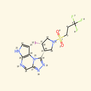 O=S(=O)(CCC(F)(F)F)N1C[C@@H](I)[C@@H](c2nnc3cnc4[nH]ccc4n23)C1